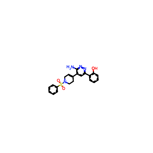 Nc1nnc(-c2ccccc2O)cc1C1=CCN(S(=O)(=O)c2ccccc2)CC1